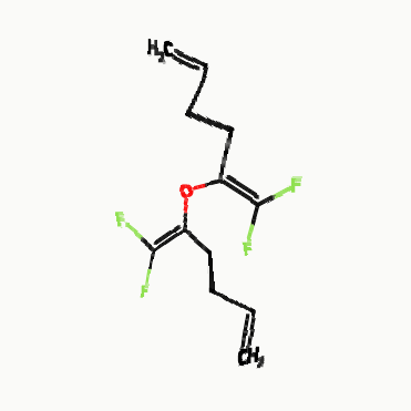 C=CCCC(OC(CCC=C)=C(F)F)=C(F)F